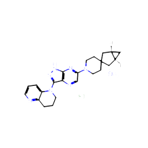 Cl.N[C@H]1[C@H]2C[C@H]2CC12CCN(c1cnc3c(N4CCCc5ncccc54)n[nH]c3n1)CC2